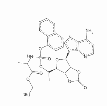 CC(NP(=O)(Oc1cccc2ccccc12)OC(C)[C@H]1O[C@@H](n2cnc3c(N)ccnc32)C2OC(=O)OC21)C(=O)OCC(C)(C)C